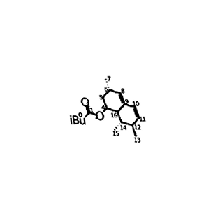 CC[C@H](C)C(=O)OC1C[C@H](C)C=C2C=C[C@@H](C)[C@H](C)C21